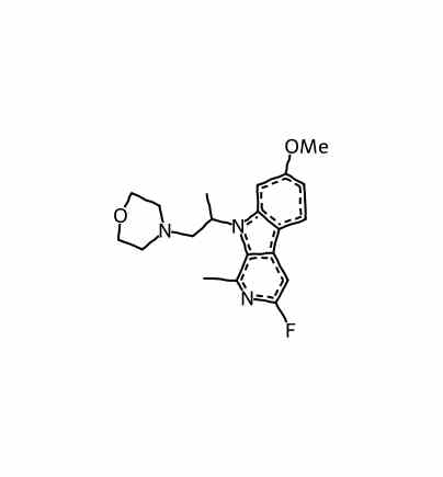 COc1ccc2c3cc(F)nc(C)c3n(C(C)CN3CCOCC3)c2c1